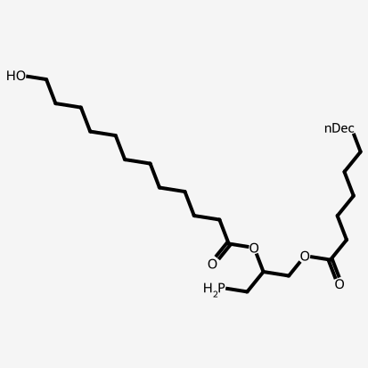 CCCCCCCCCCCCCCCC(=O)OCC(CP)OC(=O)CCCCCCCCCCCO